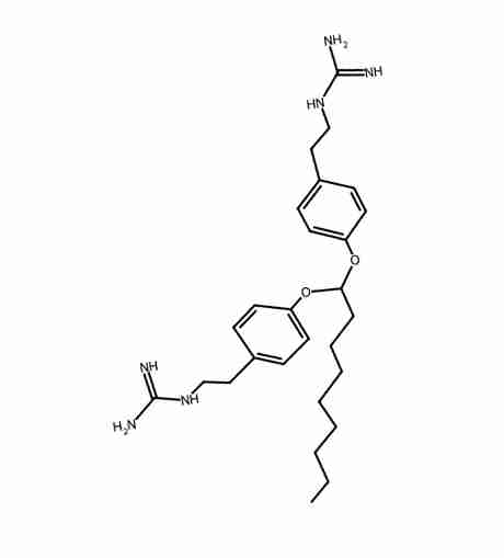 CCCCCCCCC(Oc1ccc(CCNC(=N)N)cc1)Oc1ccc(CCNC(=N)N)cc1